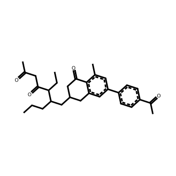 CCCC(CC1CC(=O)c2c(C)cc(-c3ccc(C(C)=O)cc3)cc2C1)C(CC)C(=O)CC(C)=O